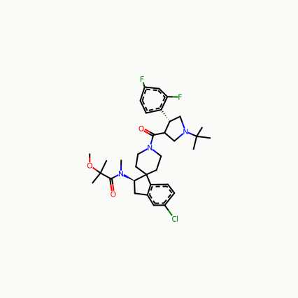 COC(C)(C)C(=O)N(C)[C@@H]1Cc2cc(Cl)ccc2C12CCN(C(=O)C1CN(C(C)(C)C)C[C@H]1c1ccc(F)cc1F)CC2